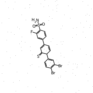 NS(=O)(=O)c1ccc(C2=CC(=S)C(c3ccc(Br)c(Br)c3)C=C2)cc1F